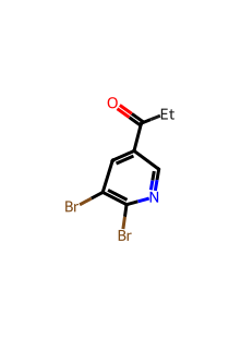 CCC(=O)c1cnc(Br)c(Br)c1